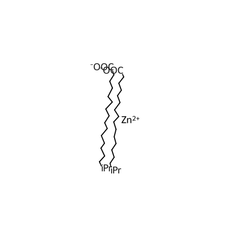 CC(C)CCCCCCCCCCCCCCC(=O)[O-].CC(C)CCCCCCCCCCCCCCC(=O)[O-].[Zn+2]